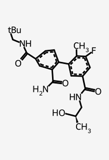 Cc1c(F)cc(C(=O)NC[C@@H](C)O)cc1-c1ccc(C(=O)NCC(C)(C)C)cc1C(N)=O